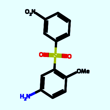 COc1ccc(N)cc1S(=O)(=O)c1cccc([N+](=O)[O-])c1